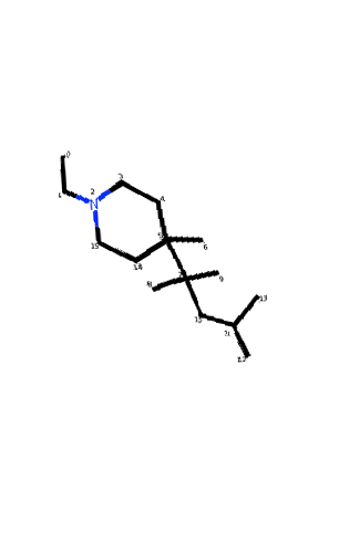 CCN1CCC(C)(C(C)(C)CC(C)C)CC1